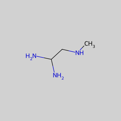 CNCC(N)N